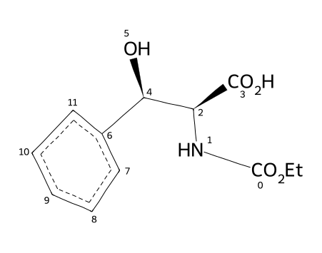 CCOC(=O)N[C@H](C(=O)O)[C@H](O)c1ccccc1